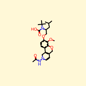 COc1c(OCC(CC(C)C)N(C(=O)O)C(C)(C)C)ccc2c1OCC1=C2CN(NC(C)=O)C=C1